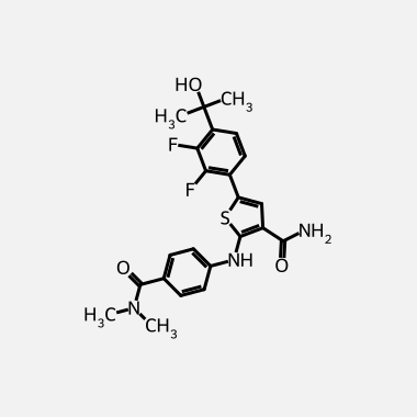 CN(C)C(=O)c1ccc(Nc2sc(-c3ccc(C(C)(C)O)c(F)c3F)cc2C(N)=O)cc1